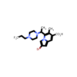 Cc1c(C(=O)O)cc2cc(Br)cn2c1C(C)N1CCN(CCC(F)(F)F)CC1